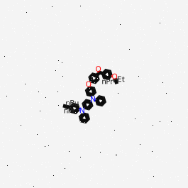 CCCCC(C)(CCC)c1ccc(N(c2ccccc2)c2ccc(N(c3ccccc3)c3ccc(Oc4ccc(C(=O)c5ccc(OC(C)(CC)CCC)cc5)cc4)cc3)cc2)cc1